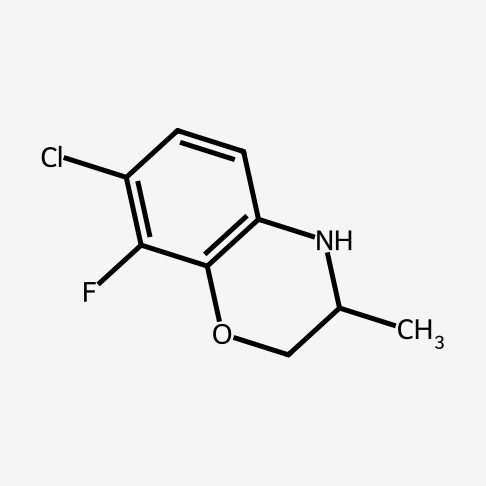 CC1COc2c(ccc(Cl)c2F)N1